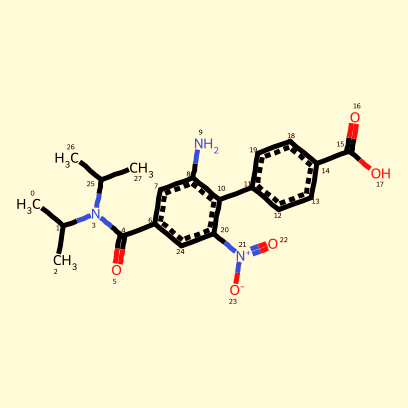 CC(C)N(C(=O)c1cc(N)c(-c2ccc(C(=O)O)cc2)c([N+](=O)[O-])c1)C(C)C